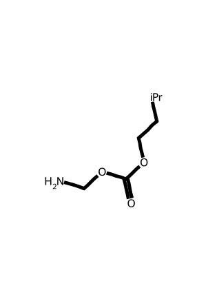 CC(C)CCOC(=O)OCN